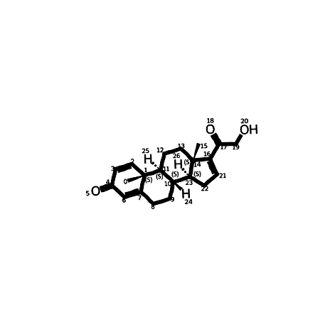 C[C@]12C=CC(=O)C=C1CC[C@@H]1[C@@H]2CC[C@]2(C)C(C(=O)CO)=CC[C@@H]12